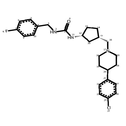 O=C(NCc1ccc(F)cc1)N[C@@H]1CC[C@H](CN2CCC(c3ccc(Cl)cc3)CC2)C1